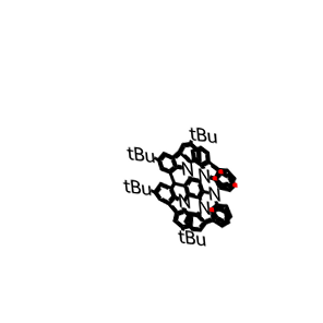 CC(C)(C)c1ccc2c(c1)c1cc(C(C)(C)C)cc3c1n2-c1c2c(c(-n4c5ccccc5c5ccccc54)c(N(c4ccccc4)c4ccccc4)c1-n1c4ccccc4c4ccccc41)-n1c4ccc(C(C)(C)C)cc4c4cc(C(C)(C)C)cc(c41)C23